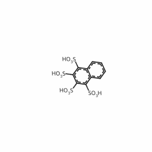 O=S(=O)(O)c1c(S(=O)(=O)O)c(S(=O)(=O)O)c2ccccc2c1S(=O)(=O)O